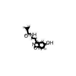 O=C(NCCc1noc2ccc(O)cc12)C1CC1